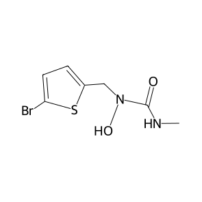 CNC(=O)N(O)Cc1ccc(Br)s1